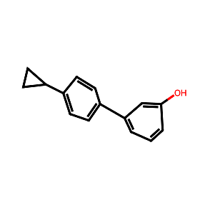 Oc1cccc(-c2ccc(C3CC3)cc2)c1